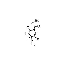 CC(C)(C)OC(=O)N1C=C(Br)C(N)(I)NC1=O